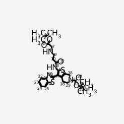 CC(C)(C)OC(=O)CNCCC(=O)Nc1sc2c(c1-c1nc3ccccc3s1)CCN(C(=O)OC(C)(C)C)C2